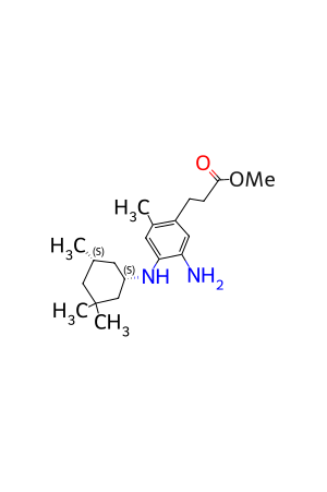 COC(=O)CCc1cc(N)c(N[C@H]2C[C@@H](C)CC(C)(C)C2)cc1C